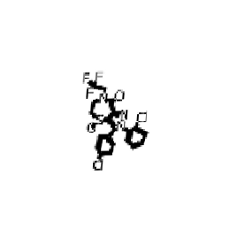 O=C1c2nn(-c3ccccc3Cl)c(-c3ccc(Cl)cc3)c2[S+]([O-])CCN1CC(F)(F)F